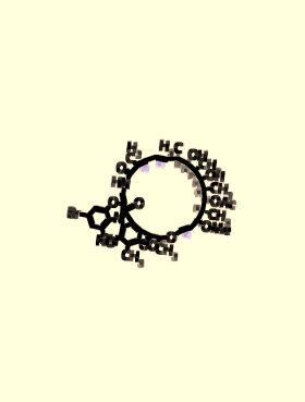 CO[C@H]1/C=C/O[C@@]2(C)Oc3c(C)c(O)c4c(=O)c(c5oc6cc(Br)cc(O)c6nc-5c4c3C2=O)NC(=O)/C(C)=C\C=C\[C@H](C)[C@H](O)[C@@H](C)[C@@H](O)[C@@H](C)[C@H](OC(C)=O)[C@@H]1C